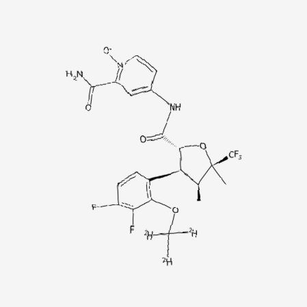 [2H]C([2H])([2H])Oc1c([C@H]2[C@H](C(=O)Nc3cc[n+]([O-])c(C(N)=O)c3)O[C@@](C)(C(F)(F)F)[C@H]2C)ccc(F)c1F